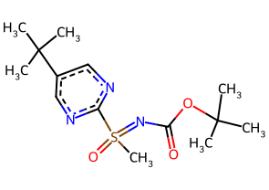 CC(C)(C)OC(=O)N=S(C)(=O)c1ncc(C(C)(C)C)cn1